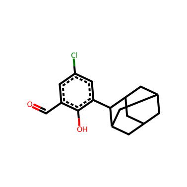 O=Cc1cc(Cl)cc(C2C3CC4CC(C3)CC2C4)c1O